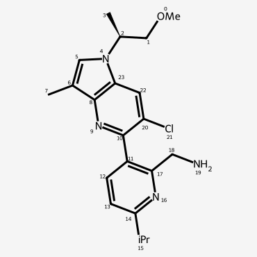 COC[C@H](C)n1cc(C)c2nc(-c3ccc(C(C)C)nc3CN)c(Cl)cc21